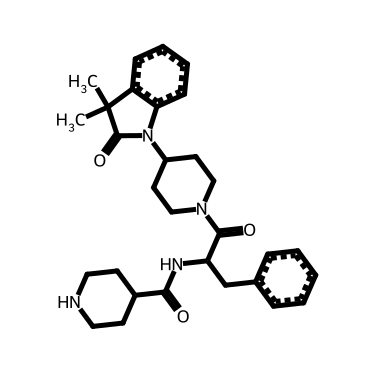 CC1(C)C(=O)N(C2CCN(C(=O)C(Cc3ccccc3)NC(=O)C3CCNCC3)CC2)c2ccccc21